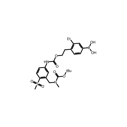 CCc1cc(B(O)O)ccc1CCOC(=O)Nc1ccc(S(C)(=O)=O)c(CN(C)C(=O)OC(C)(C)C)c1